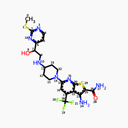 CSc1nccc(C(O)CNC2CCN(c3cc(C(F)(F)F)c4c(N)c(C(N)=O)sc4n3)CC2)n1